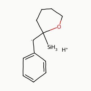 [H+].[SiH3]C1([CH]c2ccccc2)CCCCO1